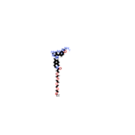 CCOCCOCCOCCOCCOCCC(=O)N1CCc2cc(Cn3nc(-c4ccc5oc(N)nc5c4)c4c3=NCNC=4N)ccc2C1